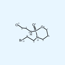 O=P1(NCCCl)OCCCN1CCBr